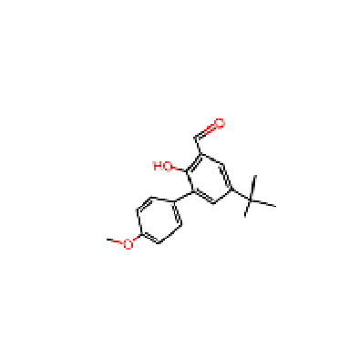 COc1ccc(-c2cc(C(C)(C)C)cc(C=O)c2O)cc1